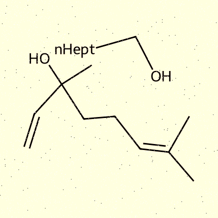 C=CC(C)(O)CCC=C(C)C.CCCCCCCCO